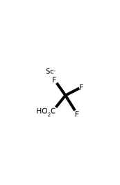 O=C(O)C(F)(F)F.[Sc]